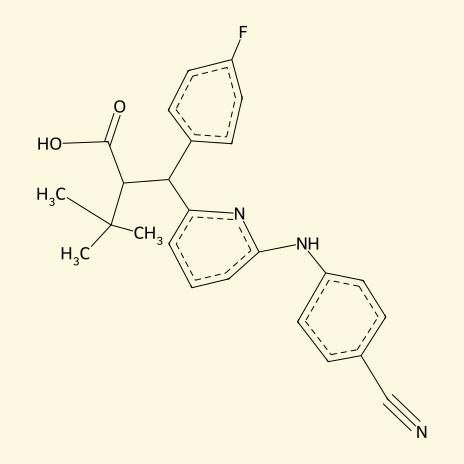 CC(C)(C)C(C(=O)O)C(c1ccc(F)cc1)c1cccc(Nc2ccc(C#N)cc2)n1